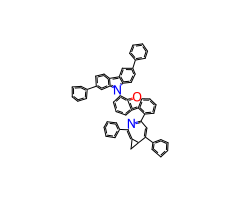 C1=C(c2ccccc2)C2CC2=C(c2ccccc2)N=C1c1cccc2oc3c(-n4c5ccc(-c6ccccc6)cc5c5ccc(-c6ccccc6)cc54)cccc3c12